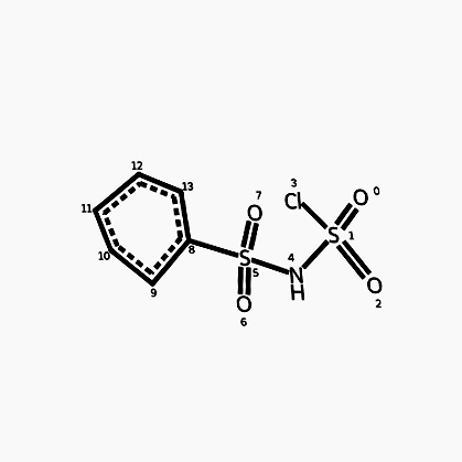 O=S(=O)(Cl)NS(=O)(=O)c1ccccc1